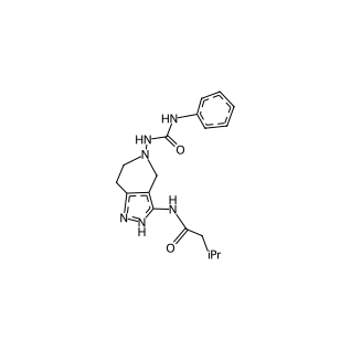 CC(C)CC(=O)Nc1[nH]nc2c1CN(NC(=O)Nc1ccccc1)CC2